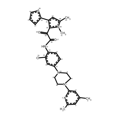 Cc1cc(C)nc(N2CCN(c3ccc(NC(=O)C(=O)c4c(-c5cccs5)cc(C)n4C)c(Cl)c3)CC2)c1